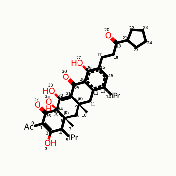 CC(=O)C1=C(O)C(C(C)C)[C@@]2(C)C[C@@]3(C)Cc4c(C(C)C)cc(CCC(=O)C5CCCC5)c(O)c4C(=O)C3=C(O)[C@@]2(O)C1=O